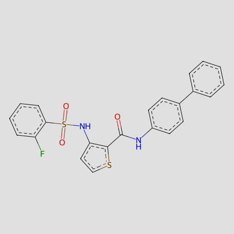 O=C(Nc1ccc(-c2ccccc2)cc1)c1sccc1NS(=O)(=O)c1ccccc1F